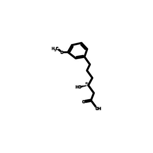 COc1cccc(CCC[C@@H](O)CC(=O)O)c1